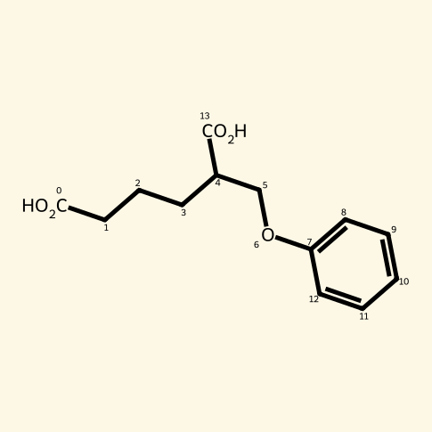 O=C(O)CCCC(COc1ccccc1)C(=O)O